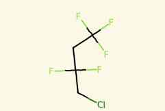 FC(F)(F)CC(F)(F)CCl